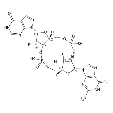 Nc1nc2c(ncn2[C@@H]2O[C@@H]3COP(=O)(S)O[C@H]4[C@H](F)[C@H](n5ccc6c(=O)[nH]cnc65)O[C@@H]4COP(=O)(S)O[C@@H]2[C@@H]3F)c(=O)[nH]1